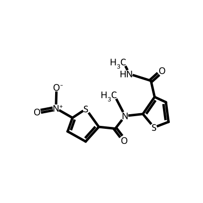 CNC(=O)c1ccsc1N(C)C(=O)c1ccc([N+](=O)[O-])s1